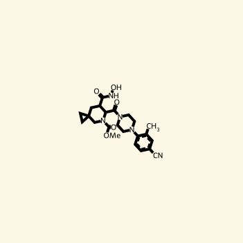 COC(=O)N1CC2(CC2)CC(C(=O)NO)C1C(=O)N1CCN(c2ccc(C#N)cc2C)CC1